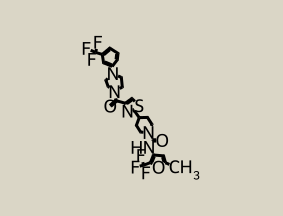 Cc1cc(NC(=O)N2CCC(c3nc(C(=O)N4CCN(c5cccc(C(F)(F)F)c5)CC4)cs3)CC2)c(C(F)(F)F)o1